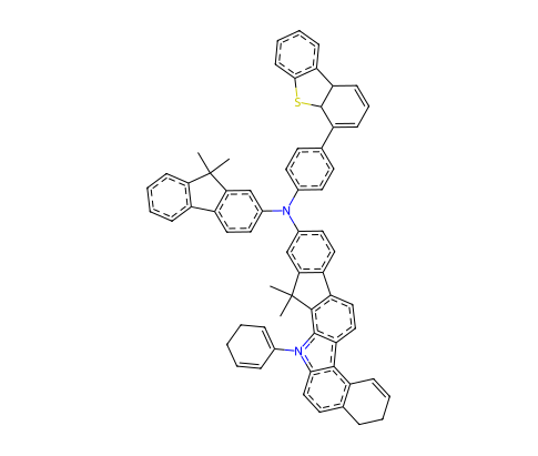 CC1(C)c2ccccc2-c2ccc(N(c3ccc(C4=CC=CC5c6ccccc6SC45)cc3)c3ccc4c(c3)C(C)(C)c3c-4ccc4c5c6c(ccc5n(C5=CCCC=C5)c34)CCC=C6)cc21